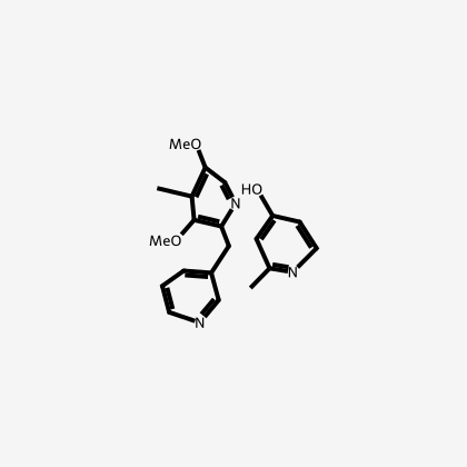 COc1cnc(Cc2cccnc2)c(OC)c1C.Cc1cc(O)ccn1